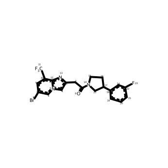 O=C(Cc1cn2cc(Br)cc(C(F)(F)F)c2n1)N1CCC(c2cccc(F)c2)C1